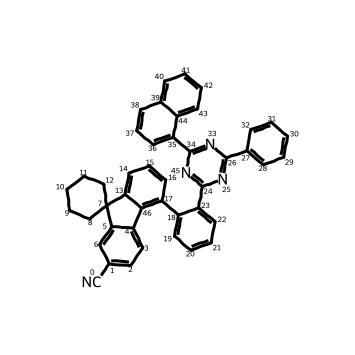 N#Cc1ccc2c(c1)C1(CCCCC1)c1cccc(-c3ccccc3-c3nc(-c4ccccc4)nc(-c4cccc5ccccc45)n3)c1-2